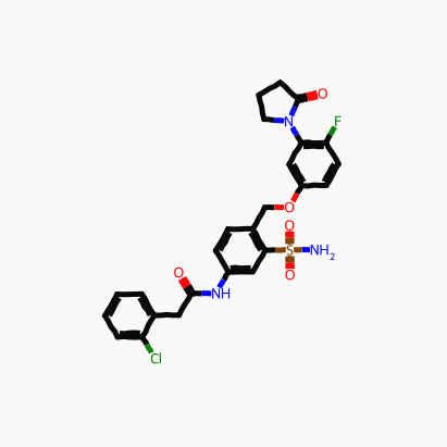 NS(=O)(=O)c1cc(NC(=O)Cc2ccccc2Cl)ccc1COc1ccc(F)c(N2CCCC2=O)c1